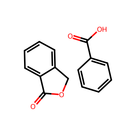 O=C(O)c1ccccc1.O=C1OCc2ccccc21